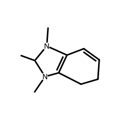 CC1N(C)C2=C(CCC=C2)N1C